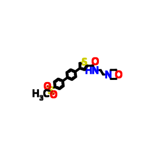 CS(=O)(=O)c1ccc(-c2ccc(-c3csc(C(=O)NCCN4CCOCC4)c3)cc2)cc1